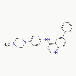 CN1CCN(c2ccc(Nc3ccnc4ccc(-c5ccccc5)cc34)cc2)CC1